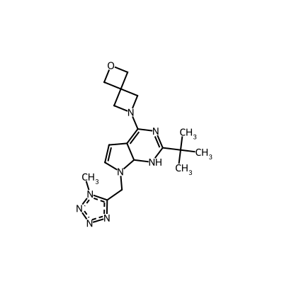 Cn1nnnc1CN1C=CC2=C(N3CC4(COC4)C3)N=C(C(C)(C)C)NC21